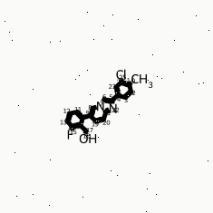 Cc1ccc(-c2cn3cc(-c4cccc(F)c4CO)ccc3n2)cc1Cl